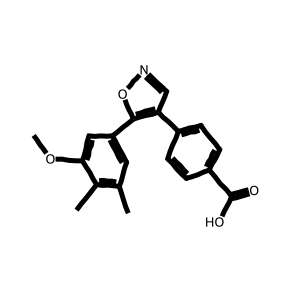 COc1cc(-c2oncc2-c2ccc(C(=O)O)cc2)cc(C)c1C